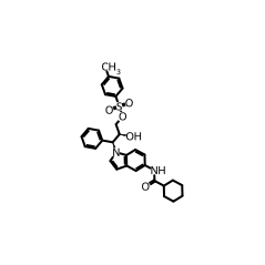 Cc1ccc(S(=O)(=O)OC[C@@H](O)[C@H](c2ccccc2)n2ccc3cc(NC(=O)C4CCCCC4)ccc32)cc1